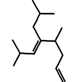 C=CCC(C)C(=CC(C)C)CC(C)C